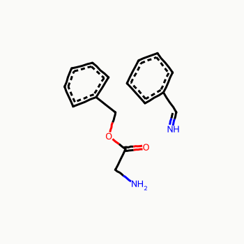 N=Cc1ccccc1.NCC(=O)OCc1ccccc1